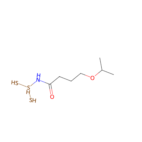 CC(C)OCCCC(=O)N[SH](S)S